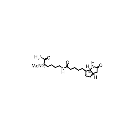 CN[C@@H](CCCCNC(=O)CCCCC1SC[C@@H]2CC(=O)N[C@H]12)C(N)=O